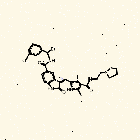 CCC(NC(=O)c1ccc2c(c1)/C(=C/c1[nH]c(C)c(C(=O)NCCN3CCCC3)c1C)C(=O)N2)c1cccc(Cl)c1